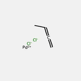 C=C=CC.[Cl-].[Cl-].[Pd+2]